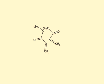 C=CC(=O)OC.C=CC(=O)OC(C)(C)C